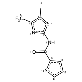 O=C(Nc1nc(C(F)(F)F)c(I)s1)c1cccs1